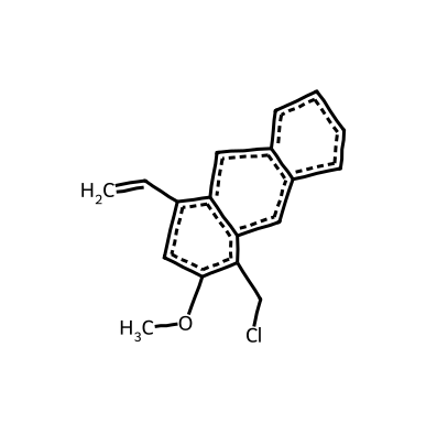 C=Cc1cc(OC)c(CCl)c2cc3ccccc3cc12